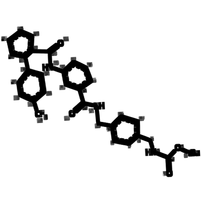 CC(C)(C)OC(=O)NCc1ccc(CNC(=O)c2cccc(NC(=O)c3ccccc3-c3ccc(C(F)(F)F)cc3)c2)cc1